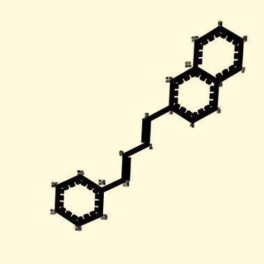 C(/C=C/c1ccc2ccccc2c1)=C\c1ccccc1